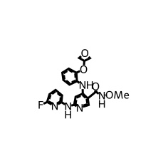 CONC(=O)c1cnc(Nc2cccc(F)n2)cc1Nc1ccccc1OC1COC1